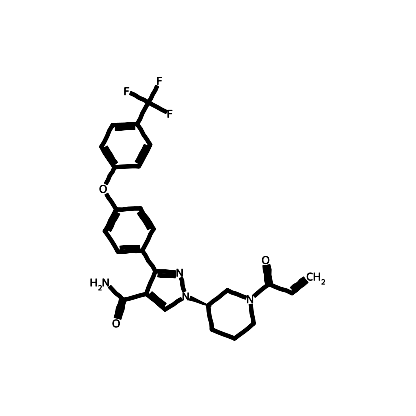 C=CC(=O)N1CCC[C@@H](n2cc(C(N)=O)c(-c3ccc(Oc4ccc(C(F)(F)F)cc4)cc3)n2)C1